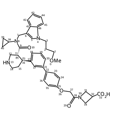 COCCCn1cc(CN(C(=O)[C@H]2CNCC[C@@H]2c2cccc(-c3ccc(OCC(=O)N4CC(C(=O)O)C4)cc3)c2)C2CC2)c2ccccc21